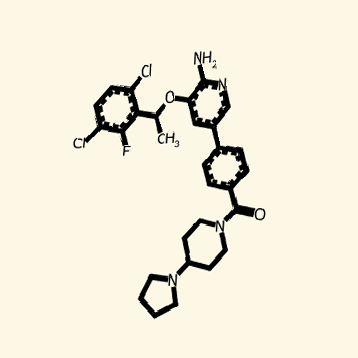 CC(Oc1cc(-c2ccc(C(=O)N3CCC(N4CCCC4)CC3)cc2)cnc1N)c1c(Cl)ccc(Cl)c1F